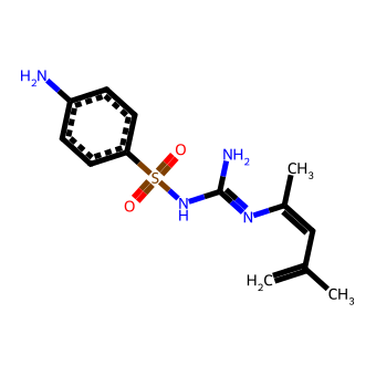 C=C(C)/C=C(C)\N=C(/N)NS(=O)(=O)c1ccc(N)cc1